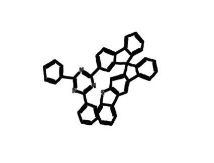 c1ccc(-c2nc(-c3ccccc3)nc(-c3ccc4c(c3)C3(c5ccccc5-4)c4ccccc4-c4cc5c(cc43)sc3ccccc35)n2)cc1